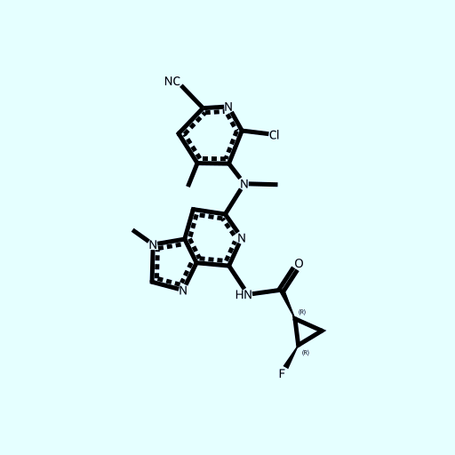 Cc1cc(C#N)nc(Cl)c1N(C)c1cc2c(ncn2C)c(NC(=O)[C@H]2C[C@H]2F)n1